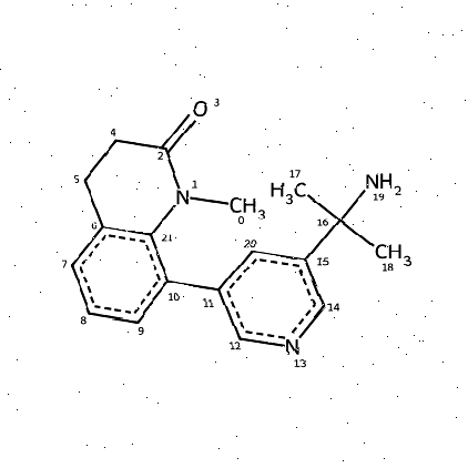 CN1C(=O)CCc2cccc(-c3cncc(C(C)(C)N)c3)c21